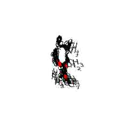 C=C1C[C@@H](OC(=O)c2ccccc2)CC[C@@]23CC4OC5C(O2)[C@H]2OC(CCC2O[C@H]5C4O3)CC(=O)CC2[C@@H](OC)C(CC(CO[Si](C)(C)C(C)(C)C)O[Si](C)(C)C(C)(C)C)O[C@H]2CC2OC(CCC1OS(C)(=O)=O)CC(C)C2=C